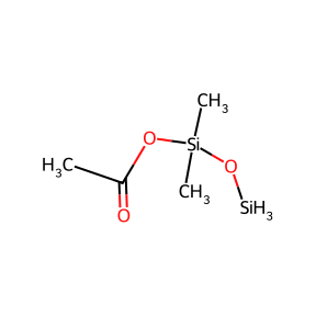 CC(=O)O[Si](C)(C)O[SiH3]